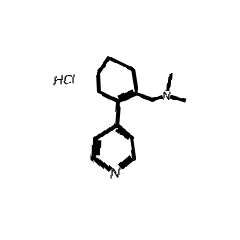 CN(C)CC1=C(c2ccncc2)CCCC1.Cl